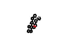 C1=CCC(N2C3=CC=C(C4=C(c5cc(-c6ccccc6)ccc5-c5c6ccccc6c(-c6cccc7ccccc67)c6ccccc56)C=CCC4)CC3c3cccnc32)C=C1